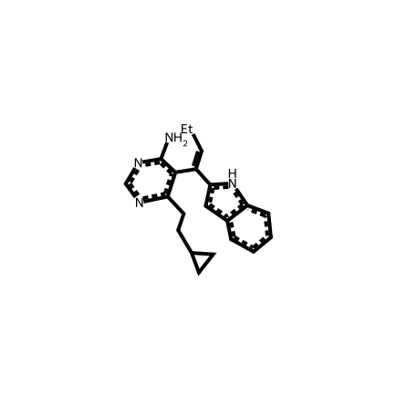 CC/C=C(/c1cc2ccccc2[nH]1)c1c(N)ncnc1CCC1CC1